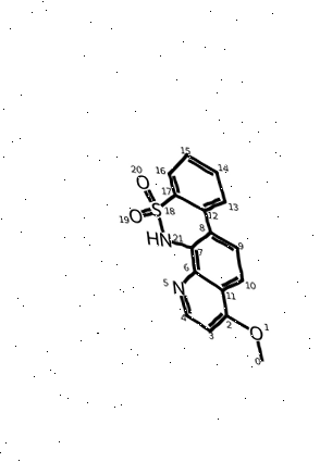 COc1ccnc2c3c(ccc12)-c1ccccc1S(=O)(=O)N3